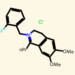 CCCC1=[N+](Cc2ccccc2F)CCc2cc(OC)c(OC)cc21.[Cl-]